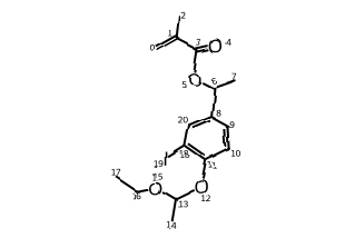 C=C(C)C(=O)OC(C)c1ccc(OC(C)OCC)c(I)c1